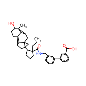 CCCC1(C(=O)NCc2cccc(-c3cccc(C(=O)O)c3)c2)CCCC1C12CC3C4C35CCC(O)C3(C)C(CC41C2)C35